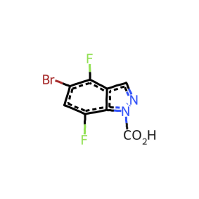 O=C(O)n1ncc2c(F)c(Br)cc(F)c21